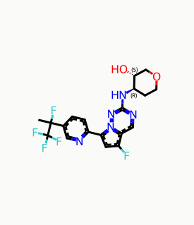 CC(F)(c1ccc(-c2cc(F)c3cnc(N[C@@H]4CCOC[C@H]4O)nn23)nc1)C(F)(F)F